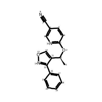 C[C@H](Oc1ccc(C#N)cn1)c1conc1-c1ccccc1